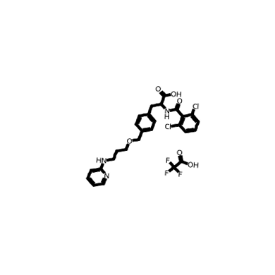 O=C(NC(Cc1ccc(COCCCNc2ccccn2)cc1)C(=O)O)c1c(Cl)cccc1Cl.O=C(O)C(F)(F)F